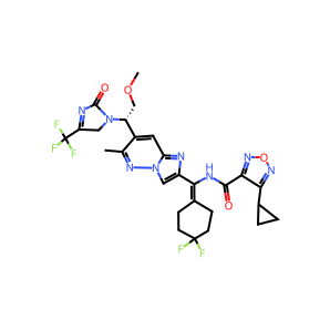 COC[C@H](c1cc2nc(C(NC(=O)c3nonc3C3CC3)=C3CCC(F)(F)CC3)cn2nc1C)N1CC(C(F)(F)F)=NC1=O